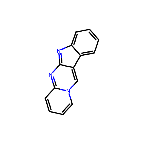 c1ccc2c3cn4ccccc4nc-3nc2c1